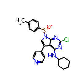 Cc1ccc([S+]([O-])n2cc(-c3ccncc3)c3c(NC4CCCCC4)nc(Cl)nc32)cc1